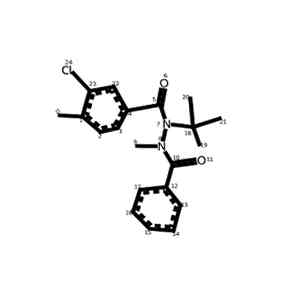 Cc1ccc(C(=O)N(N(C)C(=O)c2ccccc2)C(C)(C)C)cc1Cl